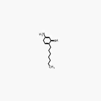 CCCCCCCC1=CCC(N)=CC1=N